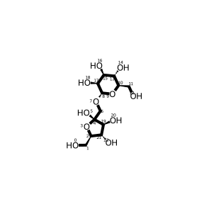 OC[C@H]1O[C@](O)(CO[C@H]2O[C@H](CO)[C@@H](O)[C@H](O)[C@@H]2O)[C@@H](O)[C@@H]1O